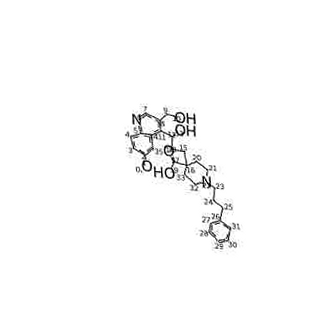 COc1ccc2ncc(CO)c([C@@H](O)CCC3(C(=O)O)CCN(CCCc4ccccc4)CC3)c2c1